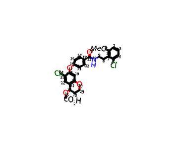 COc1cccc(Cl)c1CCNC(=O)c1ccc(Oc2cc3c(cc2Cl)C(OC(=O)O)CCO3)cc1